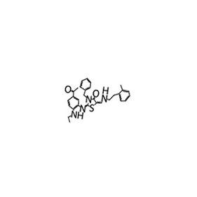 CCNc1ccc(C(C)=O)cc1/N=C1/S/C(=C/NCCc2ccccc2C)C(=O)N1Cc1ccccc1